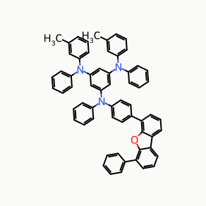 Cc1cccc(N(c2ccccc2)c2cc(N(c3ccccc3)c3ccc(-c4cccc5c4oc4c(-c6ccccc6)cccc45)cc3)cc(N(c3ccccc3)c3cccc(C)c3)c2)c1